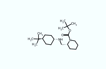 CC(C)(C)OC(=O)N1CCCC[C@@H]1CN[C@H]1CC[C@H](C(C)(C)C)CC1